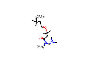 CNN(CN(C)C)C(=O)CC(C)(C)OCCC(C)(C)OC